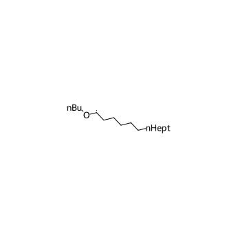 CCCCCCCCCCCC[CH]OCCCC